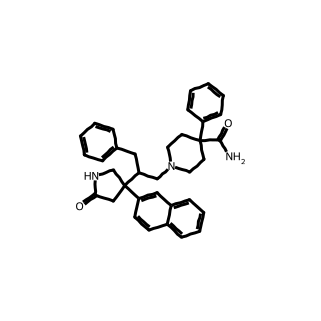 NC(=O)C1(c2ccccc2)CCN(CC(Cc2ccccc2)C2(c3ccc4ccccc4c3)CNC(=O)C2)CC1